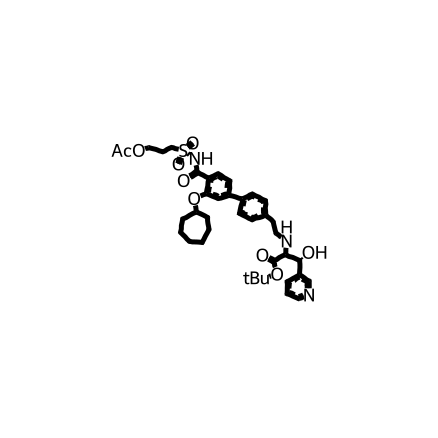 CC(=O)OCCCS(=O)(=O)NC(=O)c1ccc(-c2ccc(CCNC(C(=O)OC(C)(C)C)[C@H](O)c3cccnc3)cc2)cc1OC1CCCCCC1